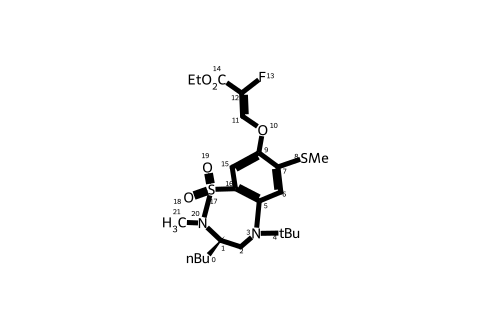 CCCC[C@@H]1CN(C(C)(C)C)c2cc(SC)c(O/C=C(\F)C(=O)OCC)cc2S(=O)(=O)N1C